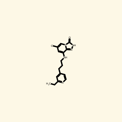 CCc1cc(CCCNc2cc(Cl)cn3c(=O)[nH]nc23)ccn1